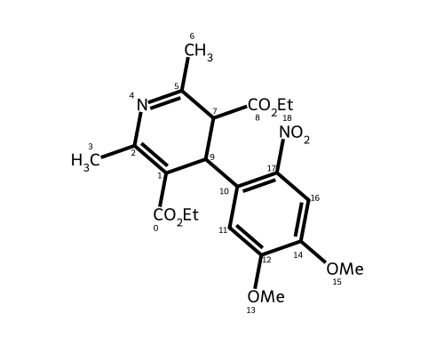 CCOC(=O)C1=C(C)N=C(C)C(C(=O)OCC)C1c1cc(OC)c(OC)cc1[N+](=O)[O-]